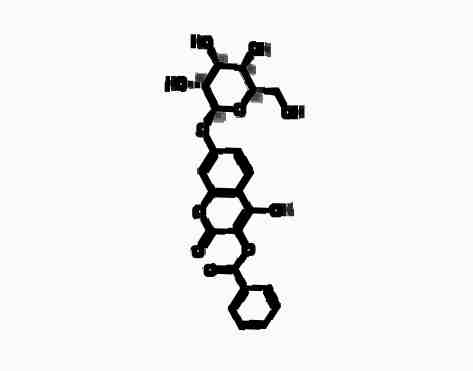 O=C(Oc1c(O)c2ccc(O[C@@H]3O[C@H](CO)[C@H](O)[C@H](O)[C@H]3O)cc2oc1=O)c1ccccc1